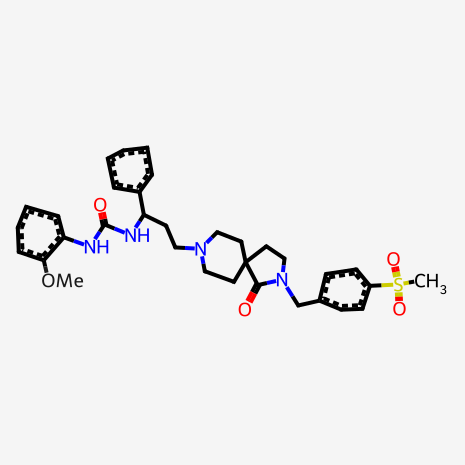 COc1ccccc1NC(=O)NC(CCN1CCC2(CC1)CCN(Cc1ccc(S(C)(=O)=O)cc1)C2=O)c1ccccc1